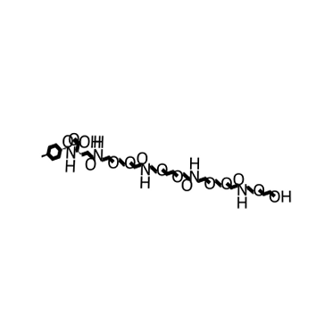 C[C@H]1CC[C@H](C(=O)N[C@@H](CCC(=O)NCCOCCOCC(=O)NCCOCCOCC(=O)NCCOCCOCC(=O)NCCOCCO)C(=O)O)CC1